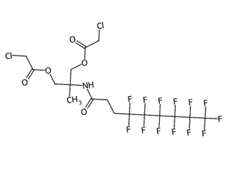 CC(COC(=O)CCl)(COC(=O)CCl)NC(=O)CCC(F)(F)C(F)(F)C(F)(F)C(F)(F)C(F)(F)C(F)(F)F